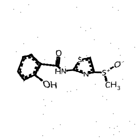 C[S+]([O-])c1csc(NC(=O)c2ccccc2O)n1